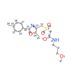 COCCCNC(=O)CS(=O)(=O)Cc1nc(-c2ccc(C)cc2)oc1C